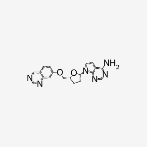 Nc1ncnc2c1ccn2[C@H]1CC[C@@H](COc2ccc3cncnc3c2)O1